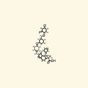 CCn1cncc1Cn1c(CN2CCC(Oc3cccc(COc4ccc(Cl)cc4F)c3)CC2)nc2ccc(CC(=O)O)cc21